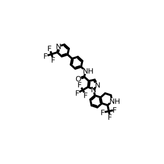 O=C(Nc1ccc(-c2ccnc(C(F)(F)F)c2)cc1)c1cnn(-c2cccc3c2CCNC3C(F)(F)F)c1C(F)(F)F